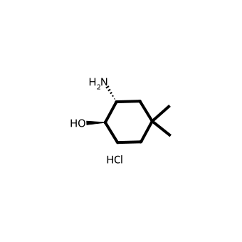 CC1(C)CC[C@@H](O)[C@H](N)C1.Cl